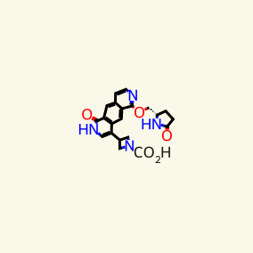 O=C1CC[C@@H](COc2nccc3cc4c(=O)[nH]cc(C5CN(C(=O)O)C5)c4cc23)N1